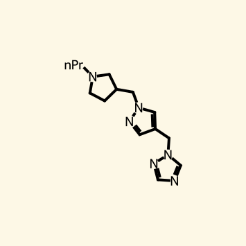 CCCN1CCC(Cn2cc(Cn3cncn3)cn2)C1